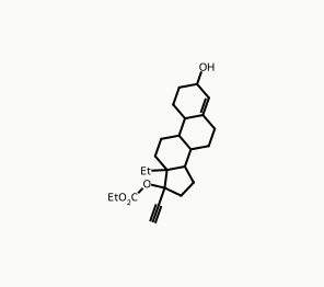 C#CC1(OC(=O)OCC)CCC2C3CCC4=CC(O)CCC4C3CCC21CC